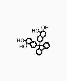 Oc1ccc2cc(C3(c4ccc5c(O)c(O)ccc5c4)c4ccccc4-c4ccccc43)ccc2c1O